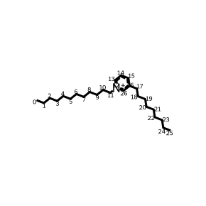 CCCCCCCCCCCC[n+]1cccc(CCCCCCCCC)c1